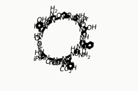 CCCC[C@H]1C(=O)N(C)[C@@H](CCCC)C(=O)N[C@@H](CC(C)C)C(=O)NCCOCC(=O)N[C@@H](Cc2ccc(O)cc2)C(=O)N(C)[C@@H](C)C(=O)N[C@@H](CC(N)=O)C(=O)N2CCC[C@H]2C(=O)N[C@@H](CN)C(=O)N[C@@H](CC(C)C)C(=O)N2C[C@H](O)C[C@H]2C(=O)N[C@@H](Cc2c[nH]c3ccccc23)C(=O)N[C@@H](CCN)C(=O)N[C@@H](Cc2cn(CC(=O)O)c3ccccc23)C(=O)N1C